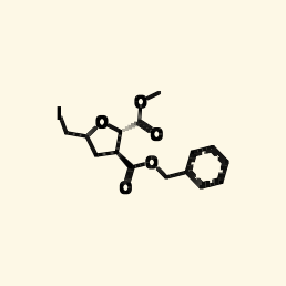 COC(=O)[C@H]1OC(CI)C[C@@H]1C(=O)OCc1ccccc1